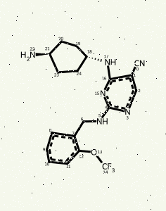 N#Cc1cnc(NCc2ccccc2OC(F)(F)F)nc1N[C@H]1CC[C@H](N)CC1